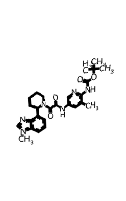 Cc1cc(NC(=O)C(=O)N2CCCCC2c2cccc3c2ncn3C)cnc1NC(=O)OC(C)(C)C